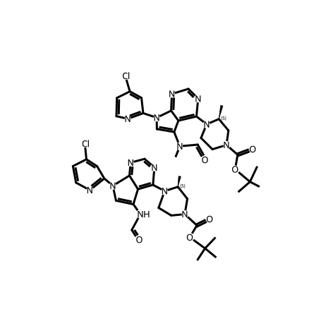 C[C@H]1CN(C(=O)OC(C)(C)C)CCN1c1ncnc2c1c(N(C)C=O)cn2-c1cc(Cl)ccn1.C[C@H]1CN(C(=O)OC(C)(C)C)CCN1c1ncnc2c1c(NC=O)cn2-c1cc(Cl)ccn1